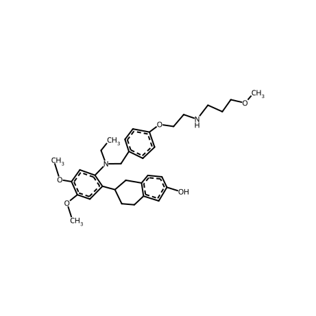 CCN(Cc1ccc(OCCNCCCOC)cc1)c1cc(OC)c(OC)cc1C1CCc2cc(O)ccc2C1